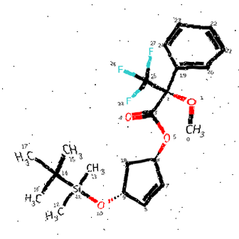 CO[C@](C(=O)O[C@H]1C=C[C@H](O[Si](C)(C)C(C)(C)C)C1)(c1ccccc1)C(F)(F)F